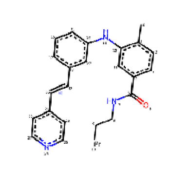 Cc1ccc(C(=O)NCCC(C)C)cc1Nc1cccc(/C=C/c2ccncc2)c1